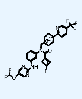 O=C(N(CC12CCC(c3ccc(C(F)(F)F)cn3)(CC1)CC2)c1cccc(Nc2ncc(OC(F)F)cn2)c1)C12CC(F)(C1)C2